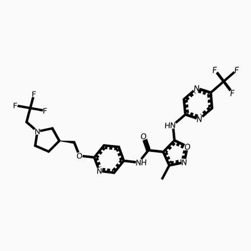 Cc1noc(Nc2cnc(C(F)(F)F)cn2)c1C(=O)Nc1ccc(OC[C@H]2CCN(CC(F)(F)F)C2)nc1